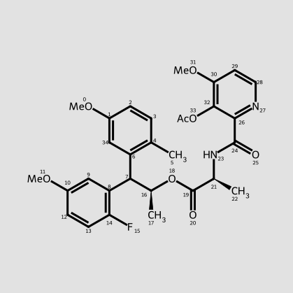 COc1ccc(C)c(C(c2cc(OC)ccc2F)[C@H](C)OC(=O)[C@H](C)NC(=O)c2nccc(OC)c2OC(C)=O)c1